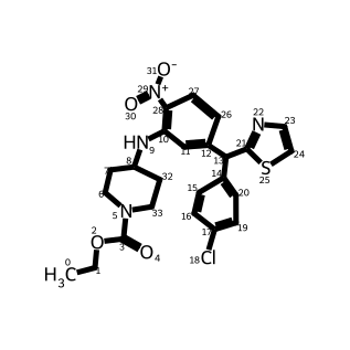 CCOC(=O)N1CCC(Nc2cc(C(c3ccc(Cl)cc3)c3nccs3)ccc2[N+](=O)[O-])CC1